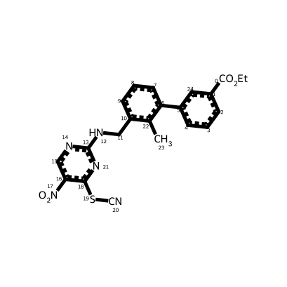 CCOC(=O)c1cccc(-c2cccc(CNc3ncc([N+](=O)[O-])c(SC#N)n3)c2C)c1